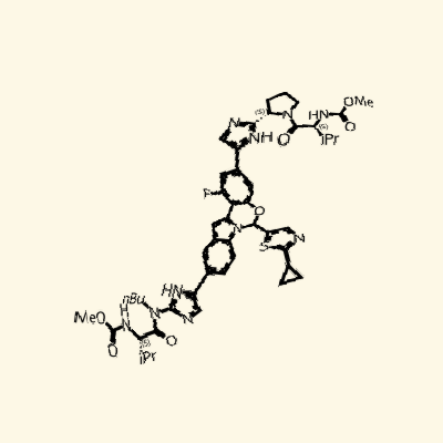 CCCCN(C(=O)[C@@H](NC(=O)OC)C(C)C)c1ncc(-c2ccc3c(c2)cc2n3C(c3cnc(C4CC4)s3)Oc3cc(-c4cnc([C@@H]5CCCN5C(=O)[C@@H](NC(=O)OC)C(C)C)[nH]4)cc(F)c3-2)[nH]1